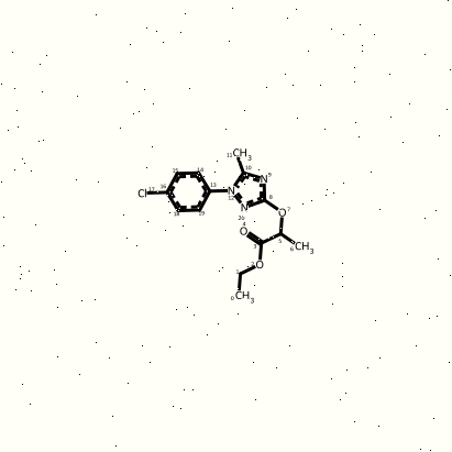 CCOC(=O)C(C)Oc1nc(C)n(-c2ccc(Cl)cc2)n1